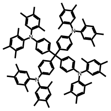 Cc1cc(C)c(N(c2ccc(C(c3ccc(N(c4cc(C)c(C)cc4C)c4cc(C)c(C)cc4C)cc3)(c3ccc(N(c4cc(C)c(C)cc4C)c4cc(C)c(C)cc4C)cc3)c3ccc(N(c4cc(C)c(C)cc4C)c4cc(C)c(C)cc4C)cc3)cc2)c2cc(C)c(C)cc2C)cc1C